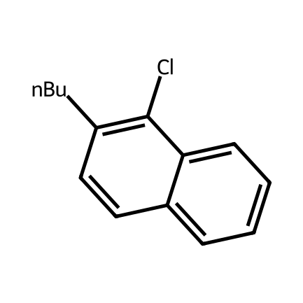 CCCCc1ccc2ccccc2c1Cl